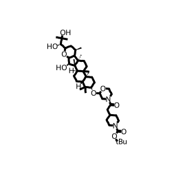 C[C@@H]1CC([C@H](O)C(C)(C)O)OC2C1[C@@]1(C)CCC34C[C@@]35CC[C@H](OC3CN(C(=O)CC6CCN(C(=O)OC(C)(C)C)CC6)CCO3)C(C)(C)[C@@H]5CC[C@H]4[C@]1(C)[C@H]2O